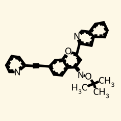 CC(C)(C)ON=c1cc(-c2cc3ccccc3cn2)oc2cc(C#Cc3ccccn3)ccc12